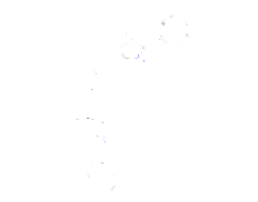 O=C(Cc1csc(-c2ccccc2)n1)N1CCCC2(CN(Cc3ccccc3)C2)C1